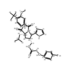 COc1cc(C(=O)N2C(c3nccs3)[C@H](COC(=O)SOc3ccc(F)cc3)C[C@@]2(CC(C)C)C(=O)O)ccc1C(C)(C)C